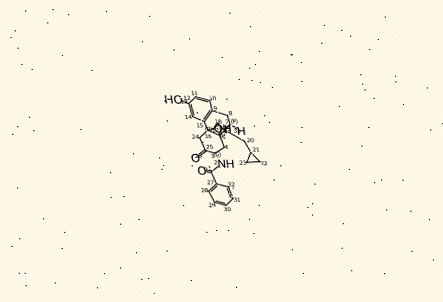 O=C(N[C@H]1C[C@@]2(O)[C@H]3Cc4ccc(O)cc4[C@@]2(CCN3CC2CC2)CC1=O)c1ccccc1